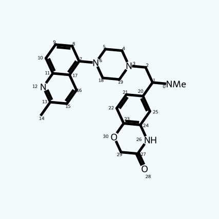 CNC(CN1CCN(c2cccc3nc(C)ccc23)CC1)c1ccc2c(c1)NC(=O)CO2